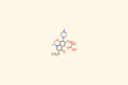 CC1COc2c(N3CCN(C)CC3)c(F)cc3c(=O)c(C(=O)O)cn1c23.O=C(O)C(=O)O